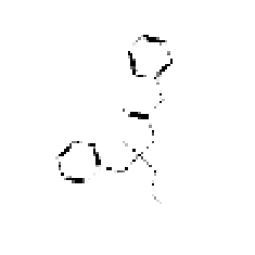 CC(CNC(=O)O)(CC(=N)Cc1ccccc1)Cc1ccccc1